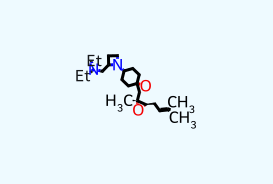 CCN(CC)CC1CCN1C1CCC2(CC1)OC2[C@]1(C)O[C@@H]1CC=C(C)C